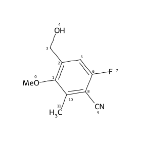 COc1c(CO)cc(F)c(C#N)c1C